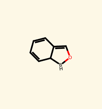 B1OC=C2C=CC=CC12